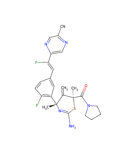 C=C1[C@@](C)(C(=O)N2CCCC2)SC(N)=N[C@]1(C)c1cc(/C=C(\F)c2cnc(C#N)cn2)ccc1F